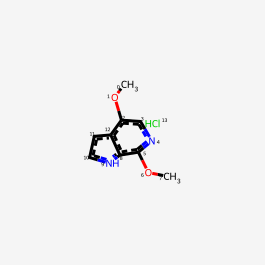 COc1cnc(OC)c2[nH]ccc12.Cl